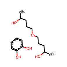 CCCCC(O)CCCOCCCC(O)CCCC.Oc1ccccc1O